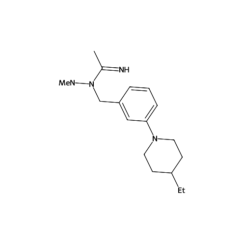 CCC1CCN(c2cccc(CN(NC)C(C)=N)c2)CC1